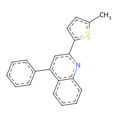 Cc1ccc(-c2cc(-c3ccccc3)c3ccccc3n2)s1